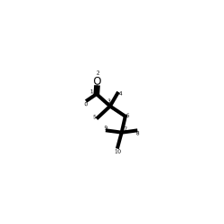 CC(=O)C(C)(C)CC(C)(C)C